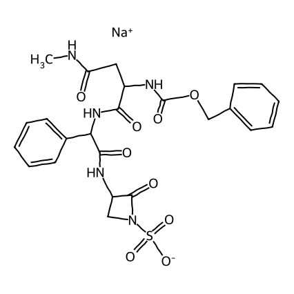 CNC(=O)CC(NC(=O)OCc1ccccc1)C(=O)NC(C(=O)NC1CN(S(=O)(=O)[O-])C1=O)c1ccccc1.[Na+]